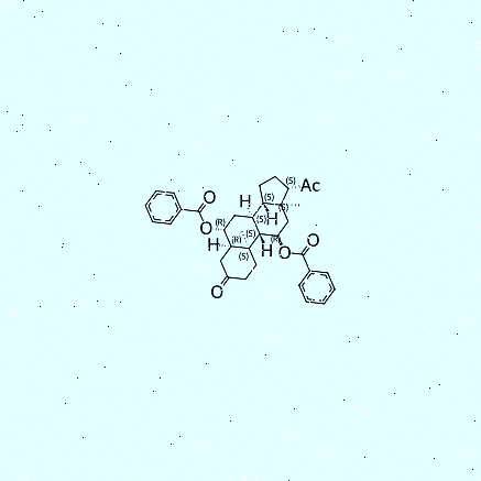 CC(=O)[C@H]1CC[C@H]2[C@@H]3C[C@@H](OC(=O)c4ccccc4)[C@@H]4CC(=O)CC[C@]4(C)[C@H]3[C@H](OC(=O)c3ccccc3)C[C@]12C